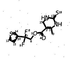 CC1=C(C(=O)OCC(F)(F)c2ccsc2)CNC(=S)N1